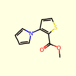 COC(=O)c1sccc1-n1cccc1